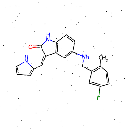 Cc1ccc(F)cc1CNc1ccc2c(c1)C(=Cc1ccc[nH]1)C(=O)N2